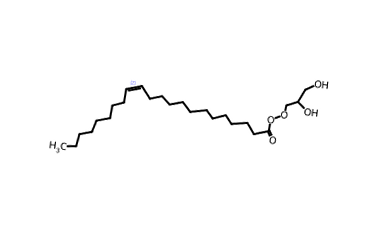 CCCCCCCC/C=C\CCCCCCCCCCCC(=O)OOCC(O)CO